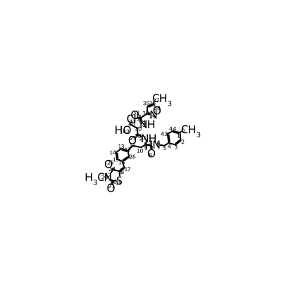 Cc1ccc(CNC(=O)C(CCc2cccc(C=C3SC(=O)N(C)C3=O)c2)NC(=O)[C@@H](NC(=O)c2cc(C)on2)[C@@H](C)O)cc1